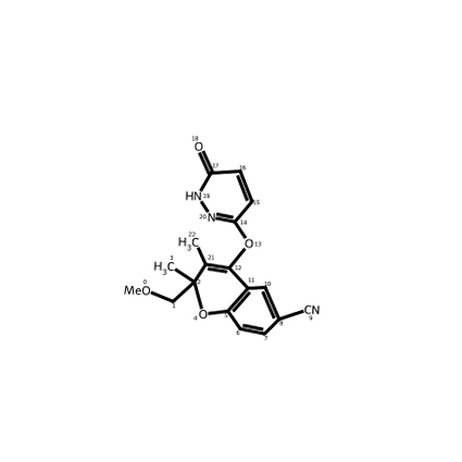 COCC1(C)Oc2ccc(C#N)cc2C(Oc2ccc(=O)[nH]n2)=C1C